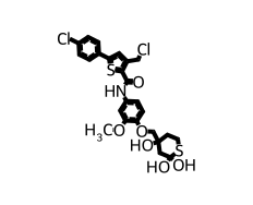 COc1cc(NC(=O)c2sc(-c3ccc(Cl)cc3)cc2CCl)ccc1OCC1(O)CCSC(O)(O)C1